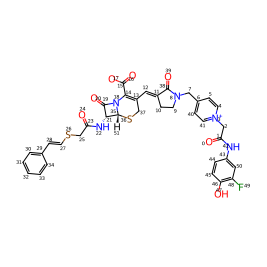 O=C(C[n+]1ccc(CN2CCC(=CC3=C(C(=O)[O-])N4C(=O)[C@@H](NC(=O)CSC=Cc5ccccc5)[C@H]4SC3)C2=O)cc1)Nc1ccc(O)c(F)c1